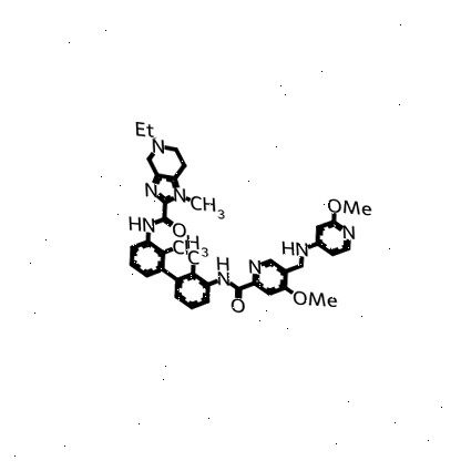 CCN1CCc2c(nc(C(=O)Nc3cccc(-c4cccc(NC(=O)c5cc(OC)c(CNc6ccnc(OC)c6)cn5)c4C)c3Cl)n2C)C1